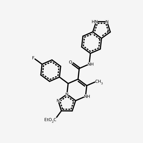 CCOC(=O)c1cc2n(n1)C(c1ccc(F)cc1)C(C(=O)Nc1ccc3[nH]ncc3c1)=C(C)N2